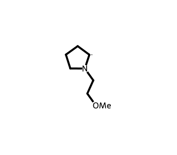 COCCN1[CH]CCC1